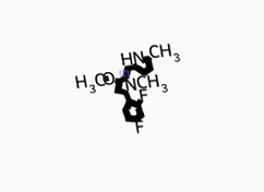 COC1=CC(c2ccc(F)cc2F)=N/C1=C\c1[nH]c(C)cc1C